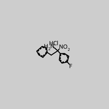 Cl.NC(Cc1ccccc1)(c1ccc(F)cc1)[N+](=O)[O-]